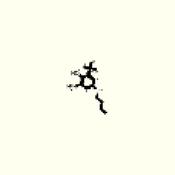 CCCCOc1cc(N)c(O)c(C(C)(C)C)c1